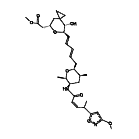 COC(=O)C[C@@H]1CC2(CC2)[C@H](O)[C@@H](/C=C/C=C/C[C@@H]2O[C@H](C)[C@H](NC(=O)/C=C\C(C)c3cc(OC)no3)C[C@@H]2C)O1